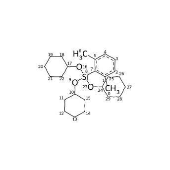 Cc1cccc(C)c1[Si](OC1CCCCC1)(OC1CCCCC1)OC1CCCCC1